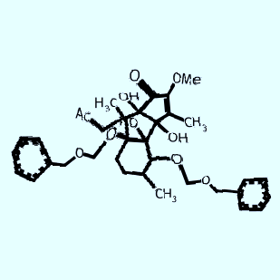 COC1=C(C)C2(O)C(O)(C1=O)C(C)(CC(C)=O)C1(OCOCc3ccccc3)CCC(C)C(OCOCc3ccccc3)C12O